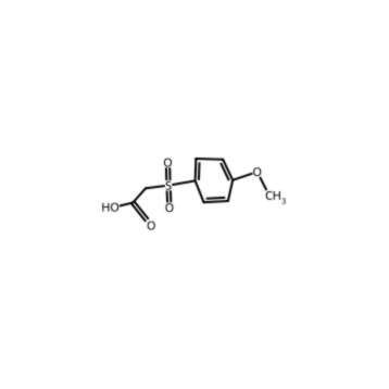 COc1ccc(S(=O)(=O)CC(=O)O)cc1